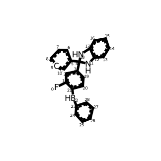 Fc1cc(C2(c3ccccc3)Nc3ccccc3N2)ccc1Bc1ccccc1